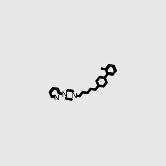 Cc1ccccc1C1CCC(CCCCCN2CCN(c3ccccn3)CC2)CC1